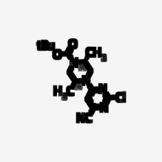 C[C@@H]1CN(c2cc(C#N)nc(Cl)n2)[C@@H](C)CN1C(=O)OC(C)(C)C